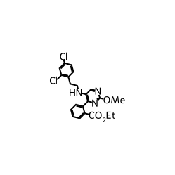 CCOC(=O)c1ccccc1-c1nc(OC)ncc1NCCc1ccc(Cl)cc1Cl